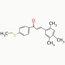 CCSc1ccc(C(=O)/C=C/c2cc(C)c(C)cc2C)cc1